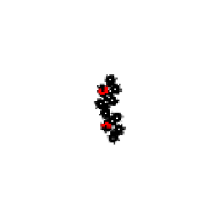 c1ccc(-n2c3ccccc3c3cccc(-c4c5ccccc5c(-c5ccc6c(c5)oc5c(-c7c8ccccc8c(-c8cccc9c%10ccccc%10n(-c%10ccccc%10)c89)c8ccccc78)cccc56)c5ccccc45)c32)cc1